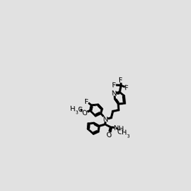 CNC(=O)C(c1ccccc1)N(CCCc1ccc(C(F)(F)F)nc1)c1ccc(F)c(OC)c1